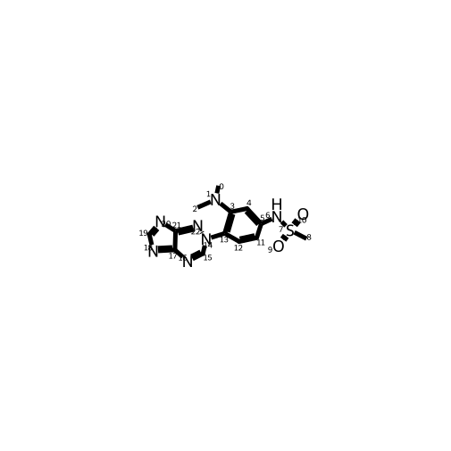 CN(C)c1cc(NS(C)(=O)=O)ccc1-n1cnc2ncnc-2n1